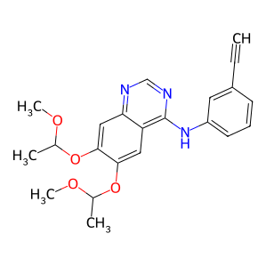 C#Cc1cccc(Nc2ncnc3cc(OC(C)OC)c(OC(C)OC)cc23)c1